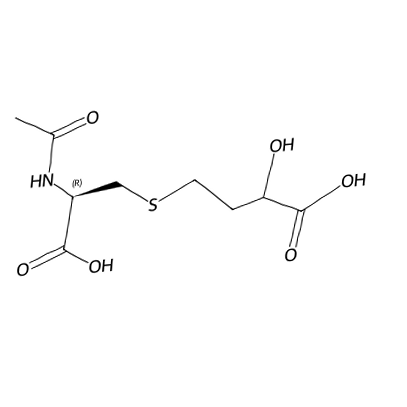 CC(=O)N[C@@H](CSCCC(O)C(=O)O)C(=O)O